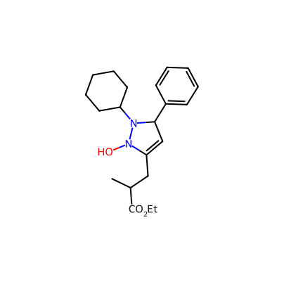 CCOC(=O)C(C)CC1=CC(c2ccccc2)N(C2CCCCC2)N1O